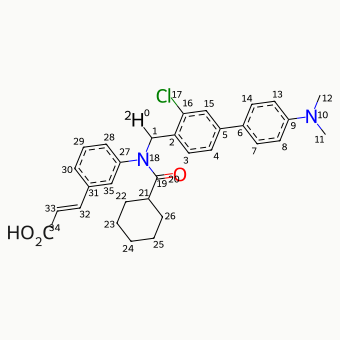 [2H]C(c1ccc(-c2ccc(N(C)C)cc2)cc1Cl)N(C(=O)C1CCCCC1)c1cccc(/C=C/C(=O)O)c1